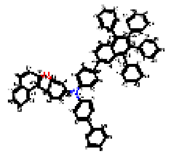 c1ccc(-c2ccc(N(c3ccc(-c4ccc5c(-c6ccccc6)c(-c6ccccc6)c(-c6ccccc6)c(-c6ccccc6)c5c4)cc3)c3ccc4c(c3)oc3ccc5ccccc5c34)cc2)cc1